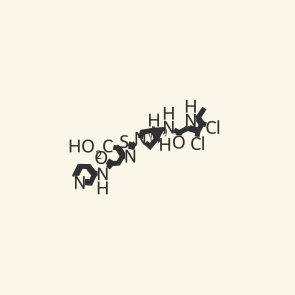 Cc1[nH]c(C(=O)N[C@@H]2[C@@H]3CN(c4nc(CC(=O)Nc5cccnc5)c(C(=O)O)s4)C[C@@H]32)c(Cl)c1Cl